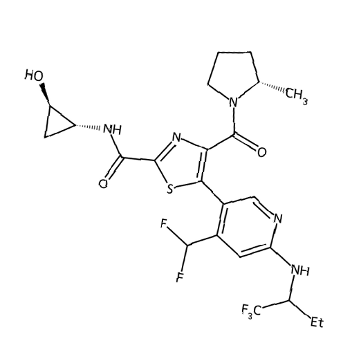 CCC(Nc1cc(C(F)F)c(-c2sc(C(=O)N[C@@H]3C[C@H]3O)nc2C(=O)N2CCC[C@@H]2C)cn1)C(F)(F)F